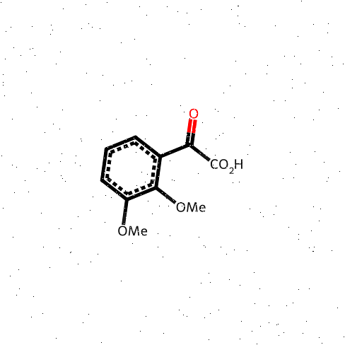 COc1cccc(C(=O)C(=O)O)c1OC